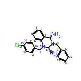 NC1c2ccccc2N(Cc2ccc(Cl)cc2)C(N)N1Cc1ccccc1